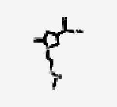 COC(=O)C1CC(=O)N(CCOPI)C1